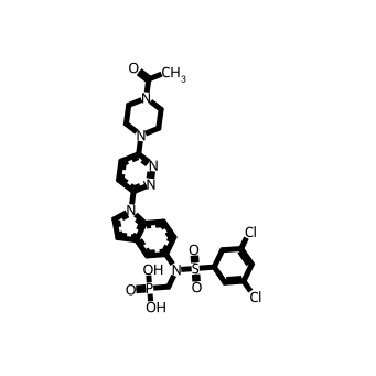 CC(=O)N1CCN(c2ccc(-n3ccc4cc(N(CP(=O)(O)O)S(=O)(=O)C5C=C(Cl)C=C(Cl)C5)ccc43)nn2)CC1